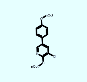 CCCCCCCCOc1ccc(-c2cnc(OCCCCCCCC)c(Cl)c2)cc1